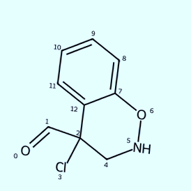 O=CC1(Cl)CNOc2ccccc21